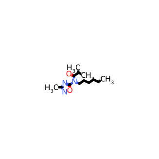 CCCCCCN(C(=O)C(C)C)c1nc(C)no1